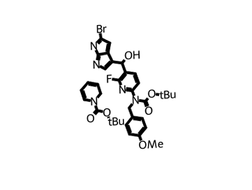 CC(C)(C)OC(=O)N1C=CC=CC1.COc1ccc(CN(C(=O)OC(C)(C)C)c2ccc(C(O)C3=CN=C4N=C(Br)C=C34)c(F)n2)cc1